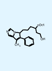 CCCCCCCCC(CCO)CCCC1C(c2ccccc2)=C(C)c2cncn21